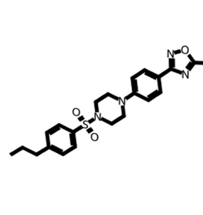 CCCc1ccc(S(=O)(=O)N2CCN(c3ccc(-c4noc(C)n4)cc3)CC2)cc1